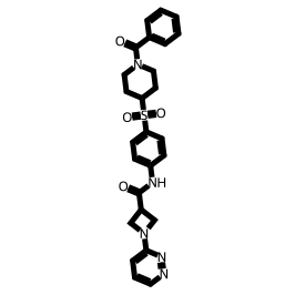 O=C(Nc1ccc(S(=O)(=O)C2CCN(C(=O)c3ccccc3)CC2)cc1)C1CN(c2cccnn2)C1